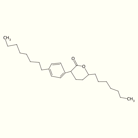 CCCCCCCCc1ccc(C2CCC(CCCCCCC)OC2=O)cc1